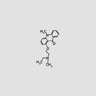 CCN(CC)CCOc1cccc2c1c(=O)c1ccccc1n2C